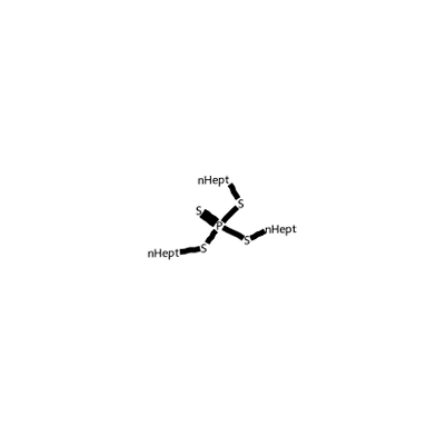 CCCCCCCSP(=S)(SCCCCCCC)SCCCCCCC